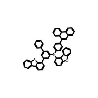 c1ccc(-c2cc(-c3cccc4c3sc3ccccc34)cc(N(c3ccc(-c4cc5ccccc5c5ccccc45)cc3)c3cccc4oc5ccccc5c34)c2)cc1